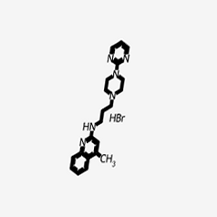 Br.Cc1cc(NCCCN2CCN(c3ncccn3)CC2)nc2ccccc12